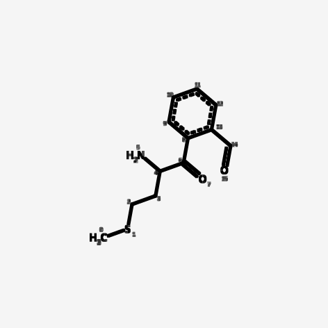 CSCCC(N)C(=O)c1ccccc1C=O